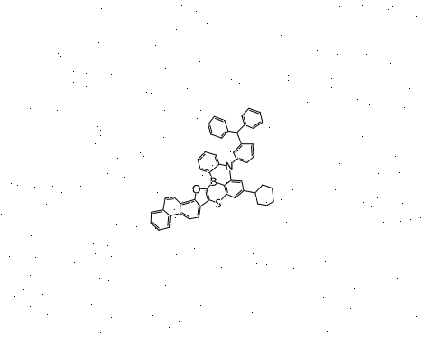 c1ccc(C(c2ccccc2)c2cccc(N3c4ccccc4B4c5oc6c(ccc7c8ccccc8ccc76)c5Sc5cc(C6CCCCC6)cc3c54)c2)cc1